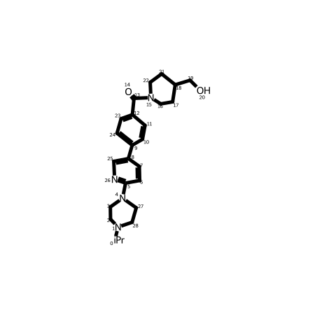 CC(C)N1CCN(c2ccc(-c3ccc(C(=O)N4CCC(CO)CC4)cc3)cn2)CC1